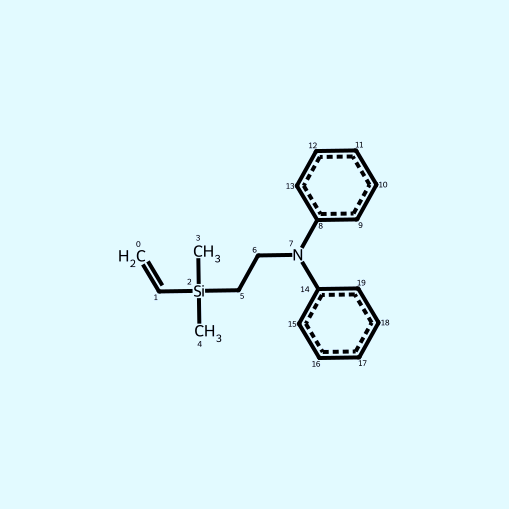 C=C[Si](C)(C)CCN(c1ccccc1)c1ccccc1